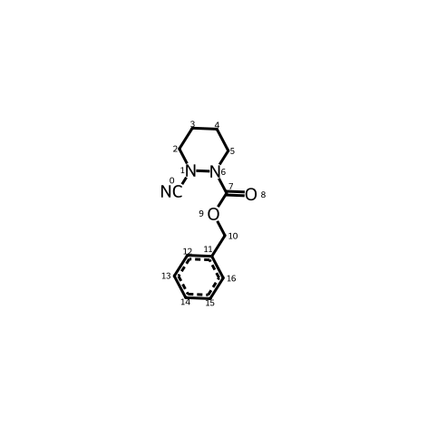 N#CN1CCCCN1C(=O)OCc1ccccc1